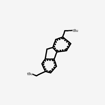 CC(C)(C)Cc1ccc2c(c1)Cc1cc(CC(C)(C)C)ccc1-2